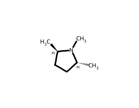 C[C@@H]1CC[C@@H](C)N1C